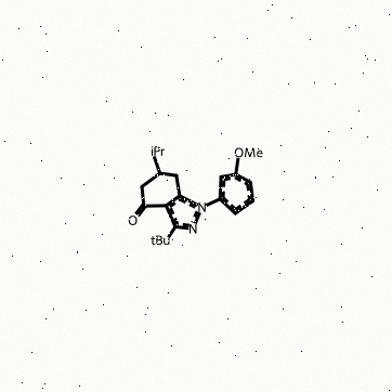 COc1cccc(-n2nc(C(C)(C)C)c3c2CC(C(C)C)CC3=O)c1